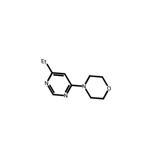 CCc1cc(N2CCOCC2)ncn1